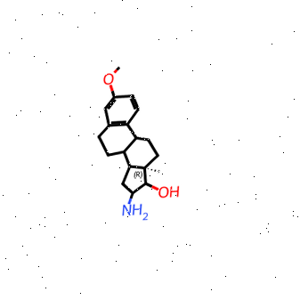 COc1ccc2c(c1)CCC1C2CC[C@@]2(C)C(O)C(N)CC12